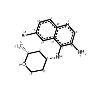 C[C@@H]1C[C@H](Nc2c(N)cnc3ccc(Br)cc23)CCO1